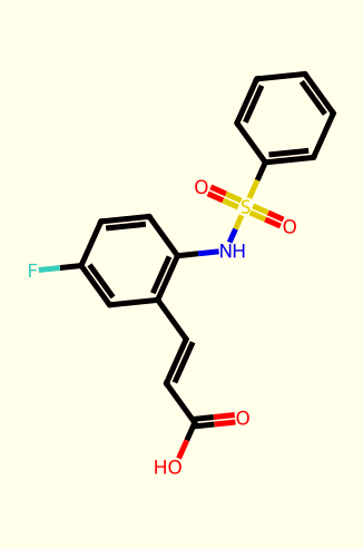 O=C(O)C=Cc1cc(F)ccc1NS(=O)(=O)c1ccccc1